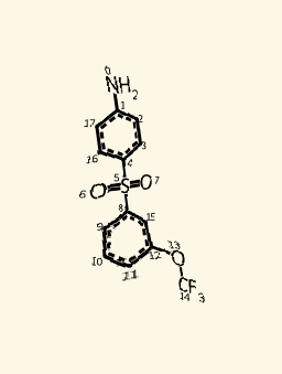 Nc1ccc(S(=O)(=O)c2cccc(OC(F)(F)F)c2)cc1